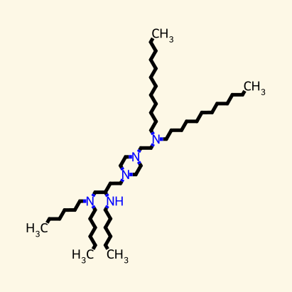 CCCCCCCCCCCCN(CCCCCCCCCCCC)CCN1CCN(CCC(CN(CCCCCC)CCCCCC)NCCCCCC)CC1